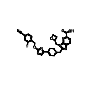 N#Cc1ccc(COc2nc(C3=CCN(Cc4nc5ccc(C(=O)O)nc5n4CC4CCO4)CC3)cs2)c(F)c1